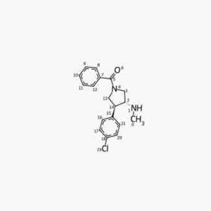 CN[C@H]1CN(C(=O)c2ccccc2)C[C@@H]1c1ccc(Cl)cc1